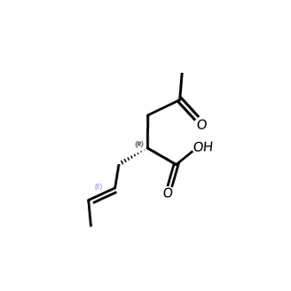 C/C=C/C[C@H](CC(C)=O)C(=O)O